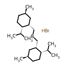 Br.CC(C)[C@@H]1CC[C@@H](C)C[C@@H]1C[B]C[C@H]1C[C@H](C)CC[C@H]1C(C)C